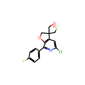 OCC1(CF)COc2c1cc(Cl)nc2-c1ccc(F)cc1